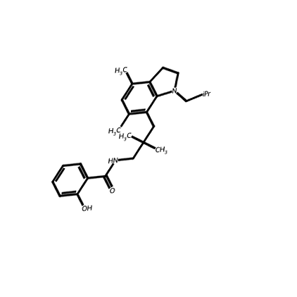 Cc1cc(C)c(CC(C)(C)CNC(=O)c2ccccc2O)c2c1CCN2CC(C)C